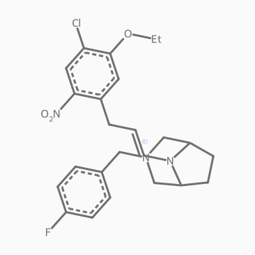 CCOc1cc(C/C=C/N2C3CCC2CN(Cc2ccc(F)cc2)C3)c([N+](=O)[O-])cc1Cl